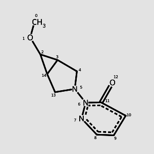 COC1C2CN(n3ncccc3=O)CC21